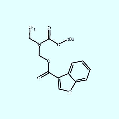 CC(C)(C)OC(=O)N(COC(=O)c1coc2ccccc12)CC(F)(F)F